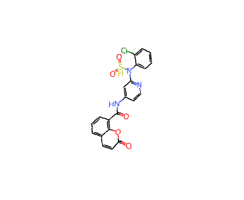 O=C(Nc1ccnc(N(c2ccccc2Cl)[SH](=O)=O)c1)c1cccc2ccc(=O)oc12